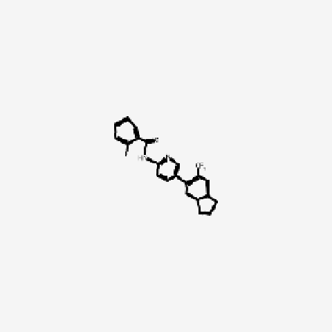 O=C(Nc1ccc(C2=C(C(F)(F)F)CC3CCCC3C2)cn1)c1ccccc1F